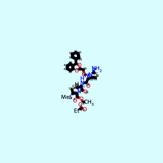 CCC(=O)OC(C)OC(=O)C1=C(SC)CS[C@H]2C(NC(=O)C3C4=CSC(N)N4N3OCC(=O)OC(c3ccccc3)c3ccccc3)C(=O)N12